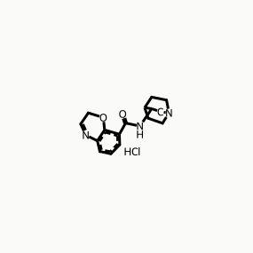 Cl.O=C(NC1CN2CCC1CC2)c1cccc2c1OCC=N2